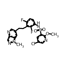 COc1ncc(Cl)cc1S(=O)(=O)Nc1ccc(F)c(CCc2cnc3cnn(C)c3c2)c1F